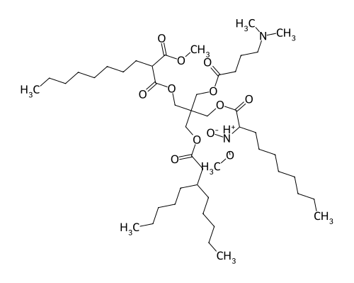 CCCCCCCCC(C(=O)OC)C(=O)OCC(COC(=O)CCCN(C)C)(COC(=O)CC(CCCCC)CCCCC)COC(=O)C(CCCCCCCC)[NH+]([O-])OC